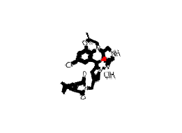 C[C@H]1CN(C2CCNC2)c2c(cc(Cl)cc2-c2ncnn3cc(CN4C(=O)C5C(C4=O)C5(C)C)cc23)O1.Cl